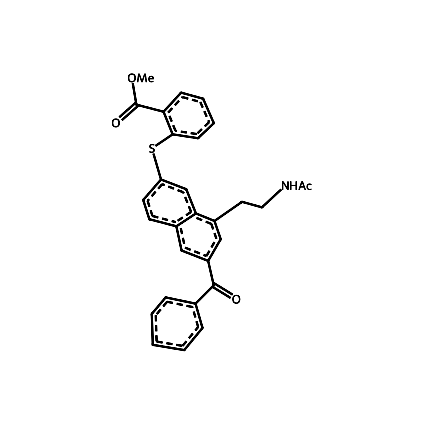 COC(=O)c1ccccc1Sc1ccc2cc(C(=O)c3ccccc3)cc(CCNC(C)=O)c2c1